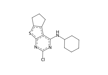 Clc1nc(NC2CCCCC2)c2c3c(sc2n1)CCC3